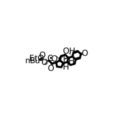 CCCCC(=O)OCC(=O)[C@@]1(OC(=O)OCC)CC[C@H]2[C@@H]3CCC4=CC(=O)C=C[C@]4(C)[C@@]3(Cl)C(O)C[C@@]21C